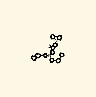 CC1(C)c2cc(N(c3ccc(-c4ccc5ccccc5c4)cc3)c3cccc(-c4cccc(-c5ccccc5)c4)c3)ccc2-c2ccc(-n3c4ccccc4c4ccccc43)cc21